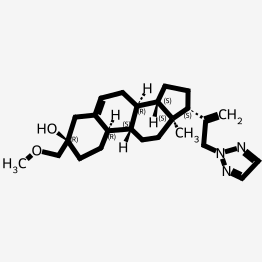 C=C(Cn1nccn1)[C@H]1CC[C@H]2[C@@H]3CC=C4C[C@@](O)(COC)CC[C@@H]4[C@H]3CC[C@]12C